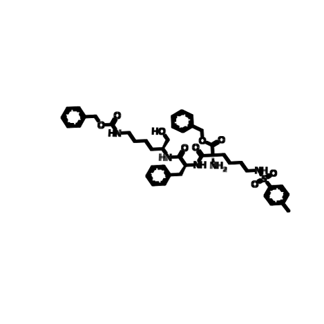 Cc1ccc(S(=O)(=O)NCCCC[C@@](N)(C(=O)N[C@@H](Cc2ccccc2)C(=O)N[C@H](CO)CCCCNC(=O)OCc2ccccc2)C(=O)OCc2ccccc2)cc1